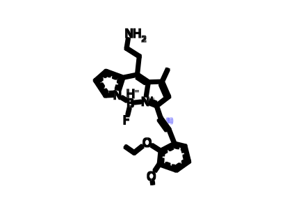 CCOc1c(/C=C/C2=[N+]3[BH-](F)n4cccc4C(CCN)=C3C(C)=C2)cccc1OC